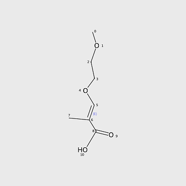 COCCO/C=C(\C)C(=O)O